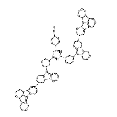 N#Cc1ccc(-c2cc(-c3cccc(-n4c5ccccc5c5cc(-c6ccc7c(c6)c6cccc8c9ccccc9n7c86)ccc54)c3)nc(-c3cccc(-n4c5ccccc5c5cc(-c6ccc7c(c6)c6cccc8c9ccccc9n7c86)ccc54)c3)n2)cc1